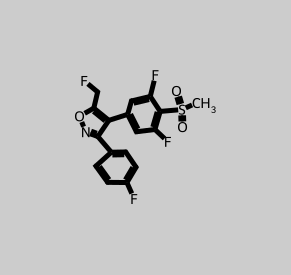 CS(=O)(=O)c1c(F)cc(-c2c(-c3ccc(F)cc3)noc2CF)cc1F